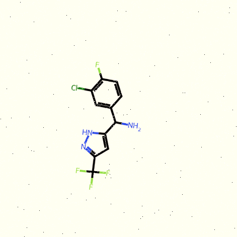 NC(c1ccc(F)c(Cl)c1)c1cc(C(F)(F)F)n[nH]1